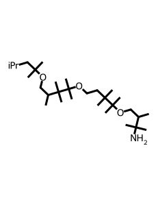 CC(C)CC(C)(C)OCC(C)C(C)(C)C(C)(C)OCCC(C)(C)C(C)(C)OCC(C)C(C)(C)N